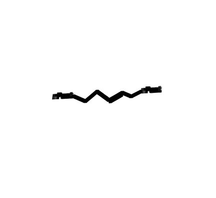 [CH2]CCCCCC=CCCCCCCC